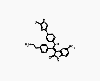 CCc1nc(-c2ccc(NC(=C3C(=O)Nc4ccc([N+](=O)[O-])cc43)c3ccc(CCN)cc3)cc2)c[nH]1